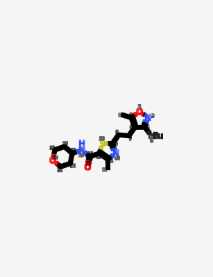 CCCCc1noc(C)c1CCc1nc(C)c(C(=O)NC2CCOCC2)s1